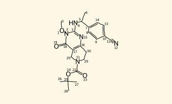 COn1c(NC(C)c2ccc(C#N)cc2)nc2c(c1=O)CN(C(=O)OC(C)(C)C)CC2